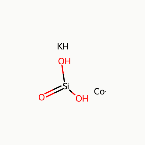 O=[Si](O)O.[Co].[KH]